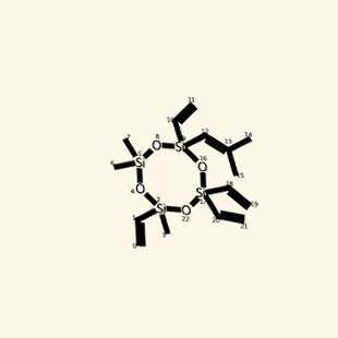 C=C[Si]1(C)O[Si](C)(C)O[Si](C=C)(C=C(C)C)O[Si](C=C)(C=C)O1